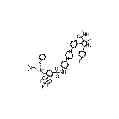 CNC(=O)c1c(-c2cccc(N3CCN(c4ccc(NS(=O)(=O)c5ccc(N[C@H](CCN(C)C)CSc6ccccc6)c(S(=O)(=O)C(F)(F)F)c5)cc4)CC3)c2)c(-c2ccc(F)cc2)n(C)c1C